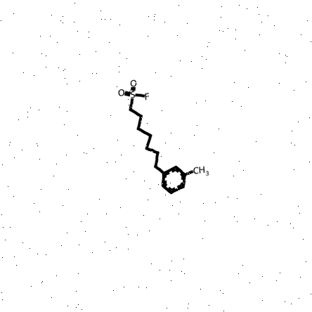 Cc1cccc(CCCCCCCS(=O)(=O)F)c1